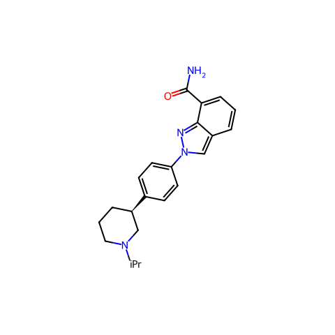 CC(C)N1CCC[C@@H](c2ccc(-n3cc4cccc(C(N)=O)c4n3)cc2)C1